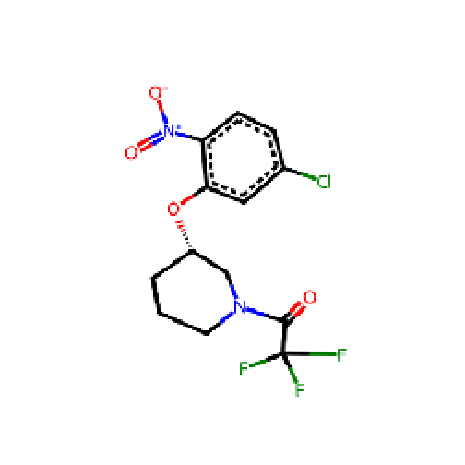 O=C(N1CCC[C@H](Oc2cc(Cl)ccc2[N+](=O)[O-])C1)C(F)(F)F